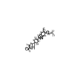 CC(=O)N[C@@H](C)COc1ccc(-n2cc3cc(F)c(OCC4CC4)cc3n2)cc1